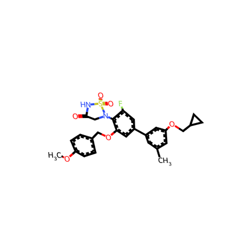 COc1ccc(COc2cc(-c3cc(C)cc(OCC4CC4)c3)cc(F)c2N2CC(=O)NS2(=O)=O)cc1